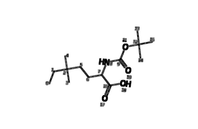 CCC(C)(C)CCC(NC(=O)OC(C)(C)C)C(=O)O